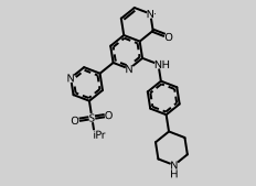 CC(C)S(=O)(=O)c1cncc(-c2cc3c(c(Nc4ccc(C5CCNCC5)cc4)n2)C(=O)[N]C=C3)c1